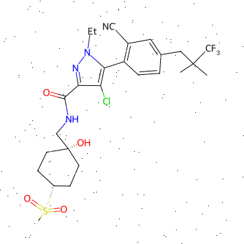 CCn1nc(C(=O)NC[C@]2(O)CC[C@@H](S(C)(=O)=O)CC2)c(Cl)c1-c1ccc(CC(C)(C)C(F)(F)F)cc1C#N